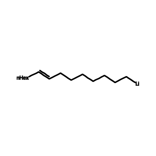 [Li][CH2]CCCCCCC=CCCCCCC